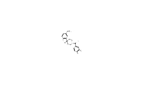 NCc1ccc2c(c1)C1(CCN(C(=O)c3ccc(Cl)c(Cl)c3)CC1)CO2